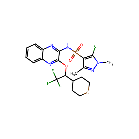 Cc1nn(C)c(Cl)c1S(=O)(=O)Nc1nc2ccccc2nc1OC(C1CCSCC1)C(F)(F)F